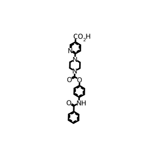 O=C(O)c1ccc(N2CCN(C(=O)Oc3ccc(NC(=O)c4ccccc4)cc3)CC2)nc1